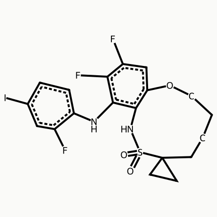 O=S1(=O)Nc2c(cc(F)c(F)c2Nc2ccc(I)cc2F)OCCCCC12CC2